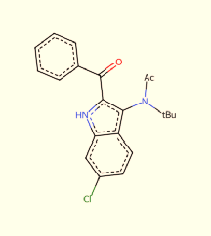 CC(=O)N(c1c(C(=O)c2ccccc2)[nH]c2cc(Cl)ccc12)C(C)(C)C